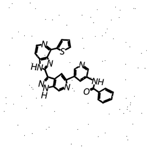 O=C(Nc1cncc(-c2cc3c(-c4nc5c(-c6cccs6)nccc5[nH]4)n[nH]c3cn2)c1)c1ccccc1